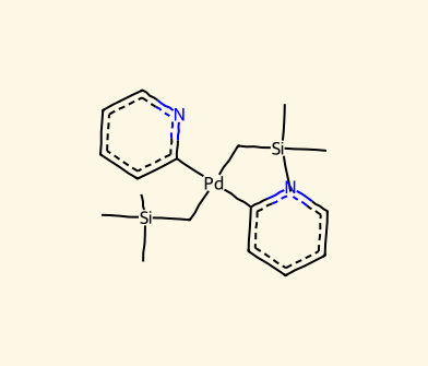 C[Si](C)(C)[CH2][Pd]([CH2][Si](C)(C)C)([c]1ccccn1)[c]1ccccn1